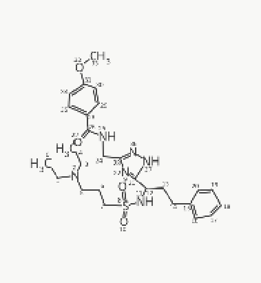 CCN(CC)CCCS(=O)(=O)N[C@H](CCc1ccccc1)c1nc(CNC(=O)c2ccc(OC)cc2)n[nH]1